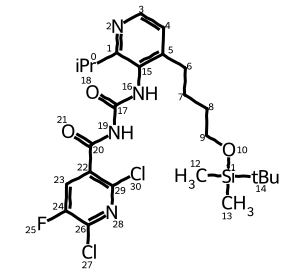 CC(C)c1nccc(CCCCO[Si](C)(C)C(C)(C)C)c1NC(=O)NC(=O)c1cc(F)c(Cl)nc1Cl